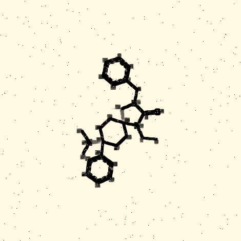 CCN1C(=O)N(Cc2ccccc2)C[C@]12CC[C@@](c1ccccc1)(N(C)C)CC2